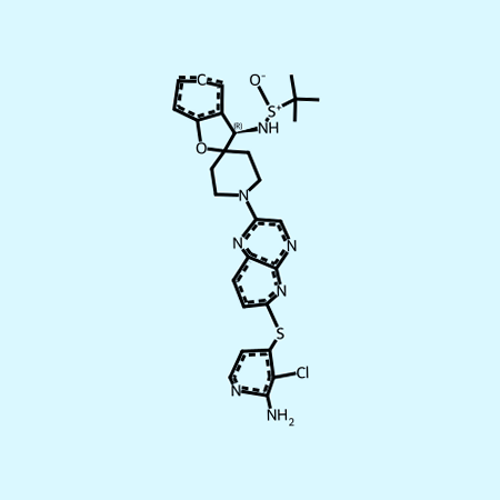 CC(C)(C)[S+]([O-])N[C@@H]1c2ccccc2OC12CCN(c1cnc3nc(Sc4ccnc(N)c4Cl)ccc3n1)CC2